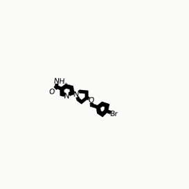 NC(=O)c1ccc(N2CCC(OCc3ccc(Br)cc3)CC2)nc1